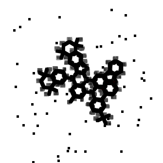 Cc1cc2c3c(c1)N(c1ccc4c(c1)C(C)(C)CCC4(C)C)c1c(sc4cc5c(cc14)C(C)(C)CCC5(C)C)B3c1cc3c(cc1N2c1ccc(C(C)(C)C)cc1-c1ccccc1)oc1ccccc13